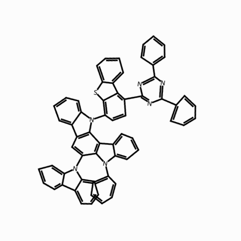 c1ccc(-c2nc(-c3ccccc3)nc(-c3ccc(-n4c5ccccc5c5cc(-n6c7ccccc7c7ccccc76)c6c(c7ccccc7n6-c6ccccc6)c54)c4sc5ccccc5c34)n2)cc1